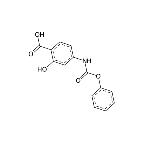 O=C(Nc1ccc(C(=O)O)c(O)c1)Oc1ccccc1